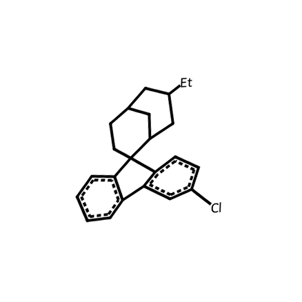 CCC1CC2CCC3(c4ccccc4-c4cc(Cl)ccc43)C(C1)C2